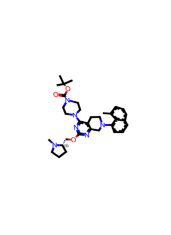 Cc1cccc2cccc(N3CCc4c(nc(OC[C@@H]5CCCN5C)nc4N4CCN(C(=O)OC(C)(C)C)CC4)C3)c12